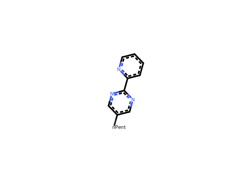 CCCCCc1cnc(-c2ccccn2)nc1